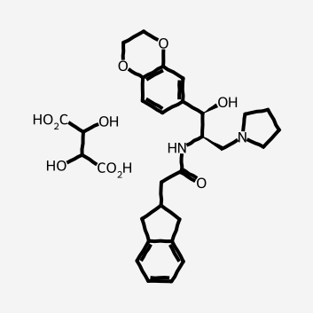 O=C(CC1Cc2ccccc2C1)N[C@H](CN1CCCC1)[C@H](O)c1ccc2c(c1)OCCO2.O=C(O)C(O)C(O)C(=O)O